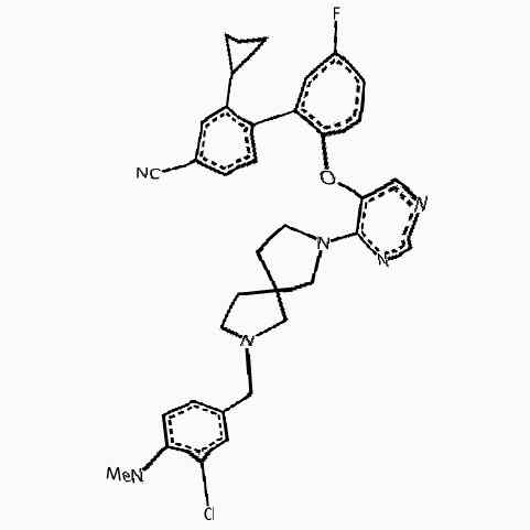 CNc1ccc(CN2CCC3(CCN(c4ncncc4Oc4ccc(F)cc4-c4ccc(C#N)cc4C4CC4)C3)C2)cc1Cl